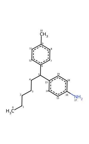 CCCCCC(c1ccc(C)cc1)c1ccc(N)cc1